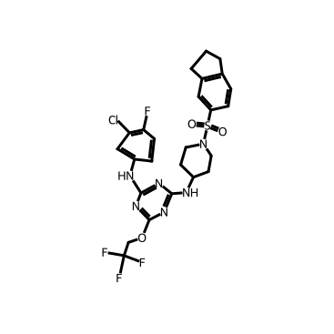 O=S(=O)(c1ccc2c(c1)CCC2)N1CCC(Nc2nc(Nc3ccc(F)c(Cl)c3)nc(OCC(F)(F)F)n2)CC1